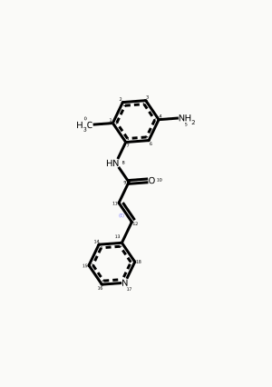 Cc1ccc(N)cc1NC(=O)/C=C/c1cccnc1